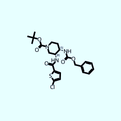 CC(C)(C)OC(=O)N1CC[C@H](NC(=O)OCc2ccccc2)[C@H](NC(=O)c2ccc(Cl)s2)C1